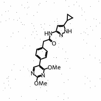 COc1ncc(-c2ccc(CC(=O)Nc3cc(C4CC4)[nH]n3)cc2)c(OC)n1